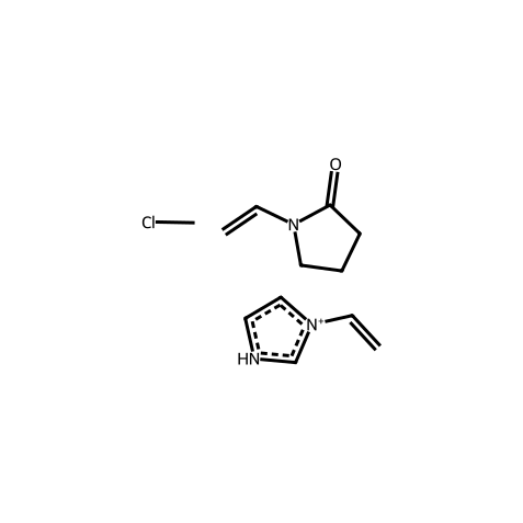 C=CN1CCCC1=O.C=C[n+]1cc[nH]c1.CCl